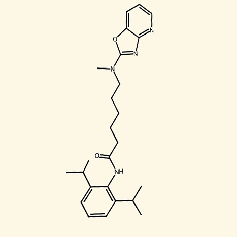 CC(C)c1cccc(C(C)C)c1NC(=O)CCCCCN(C)c1nc2ncccc2o1